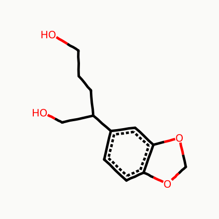 OCCCC(CO)c1ccc2c(c1)OCO2